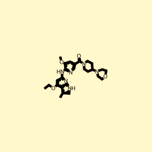 CCOc1cc(Nc2ncc(C(=O)N3CCC(N4CCOCC4)CC3)cc2OC)nc2[nH]cc(C)c12